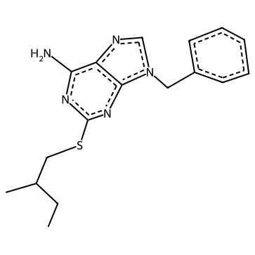 CCC(C)CSc1nc(N)c2ncn(Cc3ccccc3)c2n1